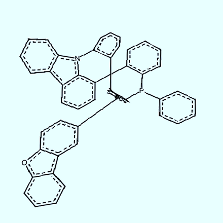 c1ccc(P2c3ccccc3C3(c4ccccc4-n4c5ccccc5c5cccc3c54)c3cc(-c4ccc5oc6ccccc6c5c4)ccc32)cc1